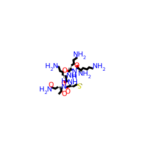 CSCC[C@H](NC(=O)[C@H](CCCCN)NC(=O)[C@H](CCCCN)NC(=O)[C@@H](N)CCCCN)C(=O)N[C@@H](CCC(N)=O)C(C)=O